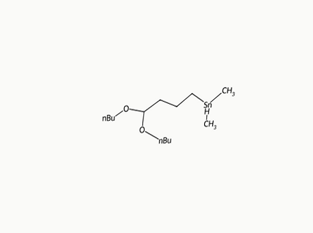 CCCCOC(CC[CH2][SnH]([CH3])[CH3])OCCCC